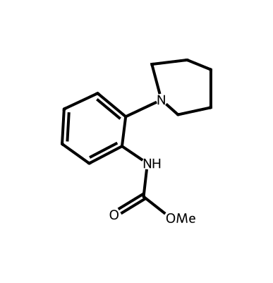 COC(=O)Nc1ccccc1N1CCCCC1